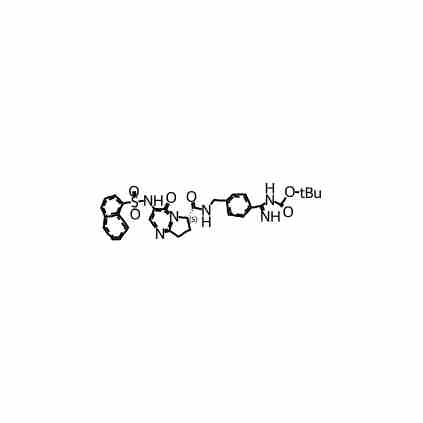 CC(C)(C)OC(=O)NC(=N)c1ccc(CNC(=O)[C@@H]2CCc3ncc(NS(=O)(=O)c4cccc5ccccc45)c(=O)n32)cc1